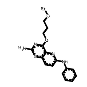 CCOCCCOc1nc(N)nc2ccc(Nc3ccccc3)nc12